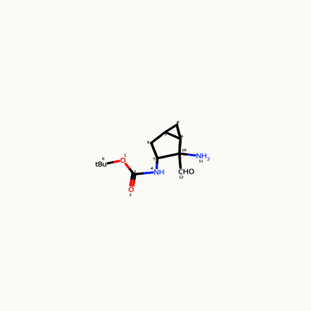 CC(C)(C)OC(=O)NC1CC2CC2C1(N)C=O